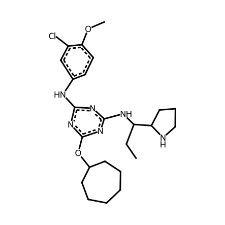 CCC(Nc1nc(Nc2ccc(OC)c(Cl)c2)nc(OC2CCCCCC2)n1)C1CCCN1